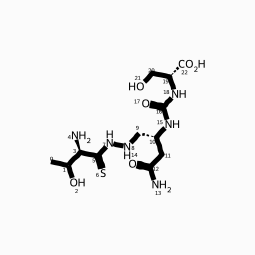 CC(O)[C@@H](N)C(=S)NNC[C@@H](CC(N)=O)NC(=O)N[C@H](CO)C(=O)O